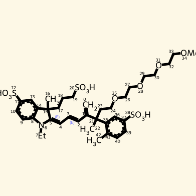 C=C(/C=C/C=C1/N(CC)c2ccc(S(=O)(=O)O)cc2C1(C)CCCS(=O)(=O)O)C(C)(CCOCCOCCOCCOC)c1cc(S(=O)(=O)O)ccc1C